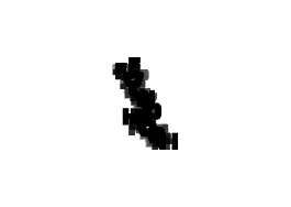 O=C(Nc1cc2c(cc1F)CNCC2)c1cn(Cc2ccc(F)c(F)c2)cn1